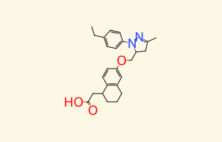 CCc1ccc(N2N=C(C)CC2COc2ccc3c(c2)CCCC3CC(=O)O)cc1